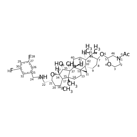 CC(=O)N1CCOC(OC2CC[C@]34C[C@]35CC[C@]3(C)C6[C@H](C)C[C@H](CNCc7cc(F)cc(F)c7)O[C@@H]6[C@H](O)[C@@]3(C)[C@@H]5CC[C@H]4C2(C)C)C1